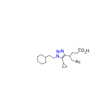 CC(=O)CC(CCC(=O)O)c1nnn(CCC2CCCCC2)c1C1CC1